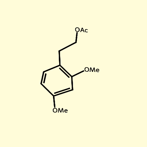 COc1ccc(CCOC(C)=O)c(OC)c1